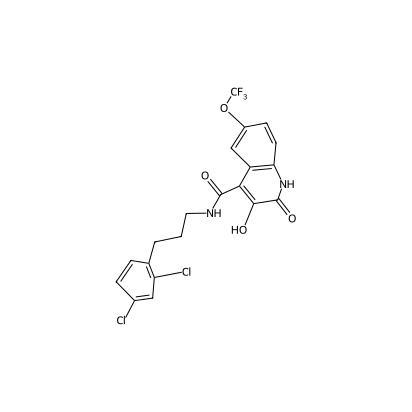 O=C(NCCCc1ccc(Cl)cc1Cl)c1c(O)c(=O)[nH]c2ccc(OC(F)(F)F)cc12